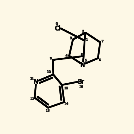 ClC1C2CCN(CC2)C1Cc1ncccc1Br